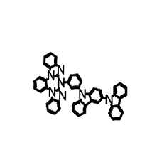 c1cc(-n2c3ccccc3c3cc(-n4c5ccccc5c5ccccc54)ccc32)cc(-n2c3nc4ccccc4n3c3ccccc3n3c4ccccc4nc23)c1